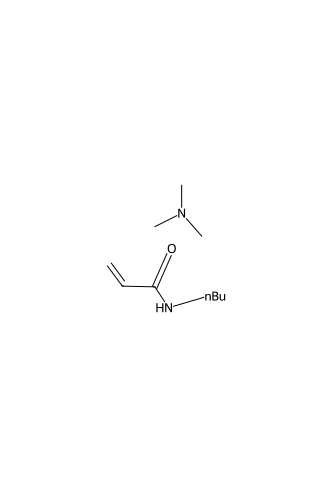 C=CC(=O)NCCCC.CN(C)C